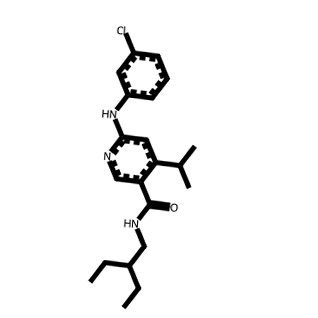 CCC(CC)CNC(=O)c1cnc(Nc2cccc(Cl)c2)cc1C(C)C